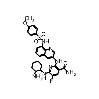 COc1ccc(S(=O)(=O)Nc2cccc3cc(Nc4nc(NC5CCCCC5N)c(F)cc4C(N)=O)cnc23)cc1